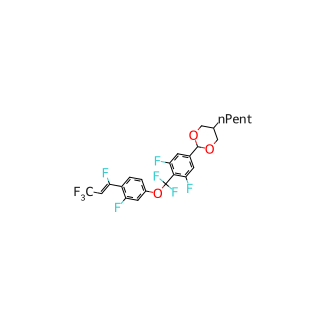 CCCCCC1COC(c2cc(F)c(C(F)(F)Oc3ccc(/C(F)=C/C(F)(F)F)c(F)c3)c(F)c2)OC1